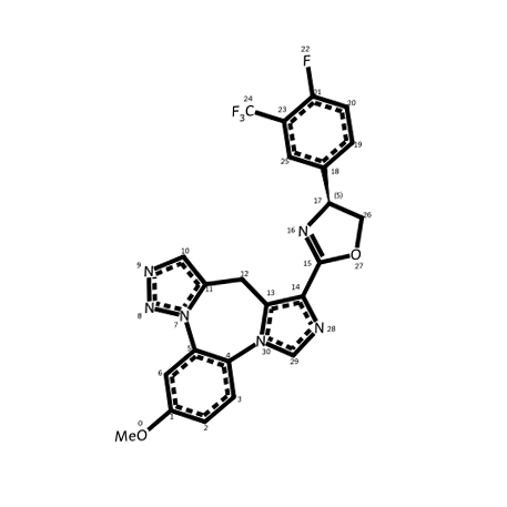 COc1ccc2c(c1)-n1nncc1Cc1c(C3=N[C@@H](c4ccc(F)c(C(F)(F)F)c4)CO3)ncn1-2